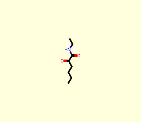 [CH2]CNC(=O)C(=O)CCCC